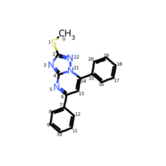 CSc1nc2nc(-c3ccccc3)cc(-c3ccccc3)n2n1